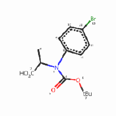 CC(C(=O)O)N(C(=O)OC(C)(C)C)c1ccc(Br)cc1